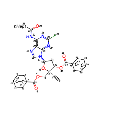 C#C[C@]1(COC(=O)C23CCC(CC2)CC3)O[C@@H](n2cnc3c(NC(=O)CCCCCCC)nc(F)nc32)C[C@@H]1OC(=O)C12CCC(CC1)CC2